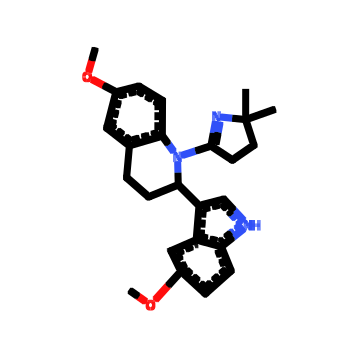 COc1ccc2c(c1)CCC(c1c[nH]c3ccc(OC)cc13)N2C1=NC(C)(C)CC1